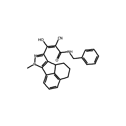 Cn1nc(C(O)=C(C#N)C(=O)NCc2ccccc2)c2c1-c1cccc3c1C2CCC3